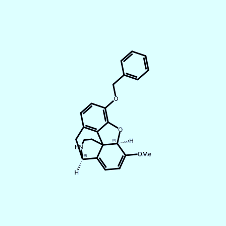 COC1=CC=C2[C@H]3Cc4ccc(OCc5ccccc5)c5c4C2(CCN3)[C@H]1O5